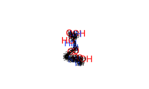 CN(CCNC[C@H](O)c1ccc(O)c2[nH]c(=O)ccc12)C(=O)CCOCCc1cccc(CN2CCC3(CC2)CN(c2ncccc2C(=O)O)CCO3)c1